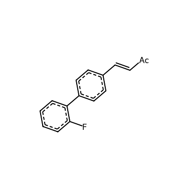 CC(=O)/C=C/c1ccc(-c2ccccc2F)cc1